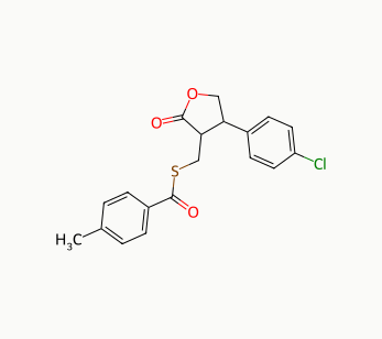 Cc1ccc(C(=O)SCC2C(=O)OCC2c2ccc(Cl)cc2)cc1